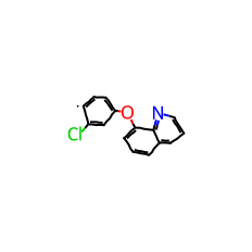 Clc1[c]ccc(Oc2cccc3cccnc23)c1